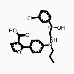 CCCN(NC[C@H](O)c1cccc(Cl)c1)c1ccc(-c2occc2C(=O)O)cc1